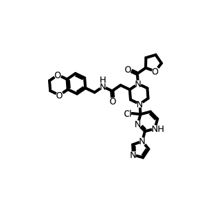 O=C(CC1CN(C2(Cl)C=CNC(n3ccnc3)=N2)CCN1C(=O)C1CCCO1)NCc1ccc2c(c1)OCCO2